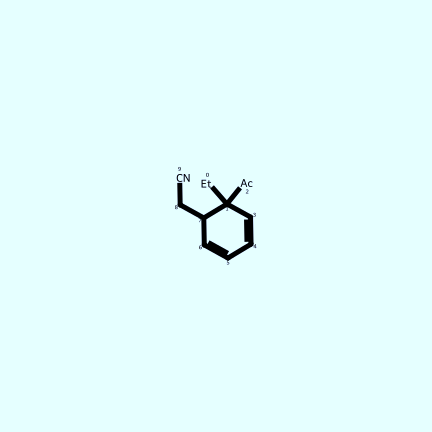 CCC1(C(C)=O)C=CC=CC1CC#N